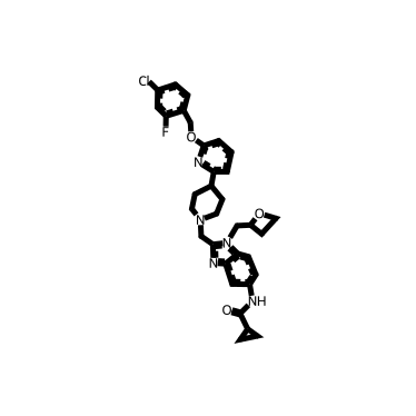 O=C(Nc1ccc2c(c1)nc(CN1CCC(c3cccc(OCc4ccc(Cl)cc4F)n3)CC1)n2CC1CCO1)C1CC1